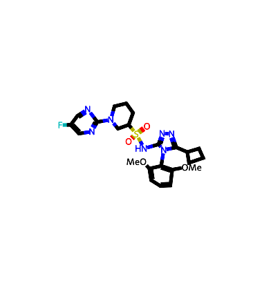 COc1cccc(OC)c1-n1c(NS(=O)(=O)C2CCCN(c3ncc(F)cn3)C2)nnc1C1CCC1